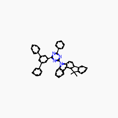 CC1(C)c2ccccc2-c2ccc3c(c21)c1ccccc1n3-c1nc(-c2ccccc2)nc(-c2cc(-c3ccccc3)cc(-c3ccccc3)c2)n1